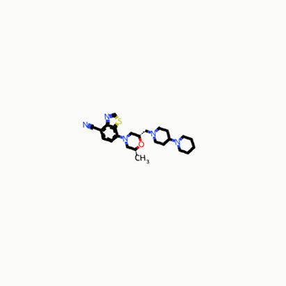 C[C@@H]1CN(c2ccc(C#N)c3ncsc23)C[C@H](CN2CCC(N3CCCCC3)CC2)O1